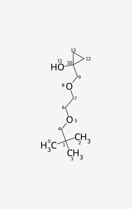 CC(C)(C)COCCOCC1(O)CC1